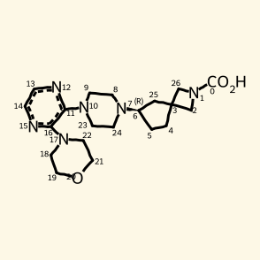 O=C(O)N1CC2(CC[C@@H](N3CCN(c4nccnc4N4CCOCC4)CC3)C2)C1